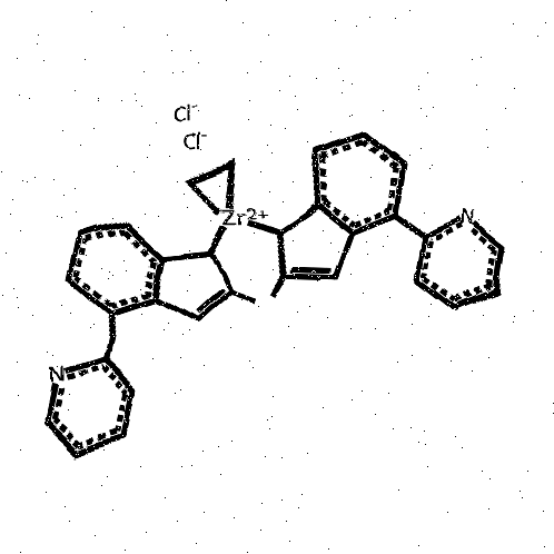 CC1=Cc2c(-c3ccccn3)cccc2[CH]1[Zr+2]1([CH]2C(C)=Cc3c(-c4ccccn4)cccc32)[CH2][CH2]1.[Cl-].[Cl-]